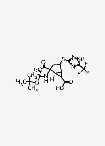 CC(C)(C)OC(=O)NC1(C(=O)O)CC(Sc2n[nH]c(C(F)(F)F)n2)C2C(C(=O)O)[C@H]21